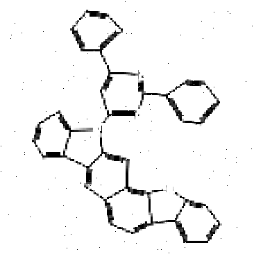 c1ccc(-c2cc(-n3c4ccccc4c4cc5ccc6c7ccccc7oc6c5cc43)nc(-c3ccccc3)n2)cc1